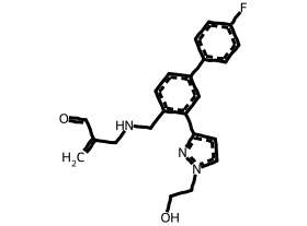 C=C(C=O)CNCc1ccc(-c2ccc(F)cc2)cc1-c1ccn(CCO)n1